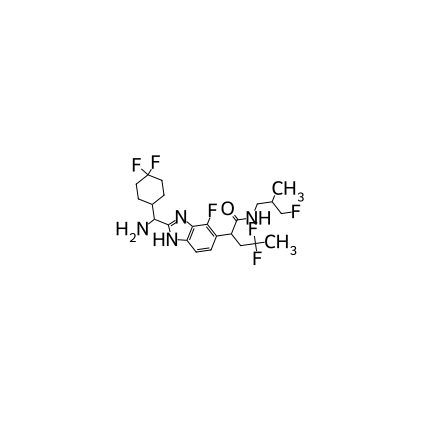 CC(CF)CNC(=O)C(CC(C)(F)F)c1ccc2[nH]c(C(N)C3CCC(F)(F)CC3)nc2c1F